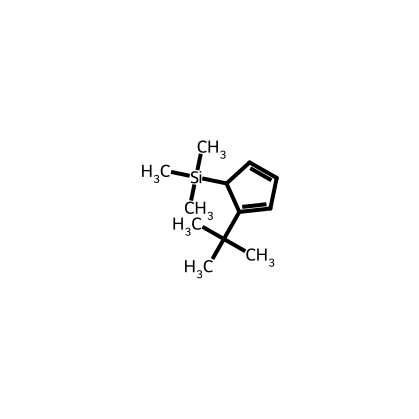 CC(C)(C)C1=CC=CC1[Si](C)(C)C